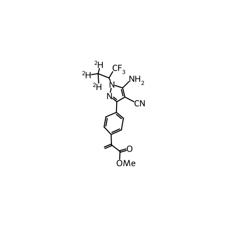 [2H]C([2H])([2H])C(n1nc(-c2ccc(C(=C)C(=O)OC)cc2)c(C#N)c1N)C(F)(F)F